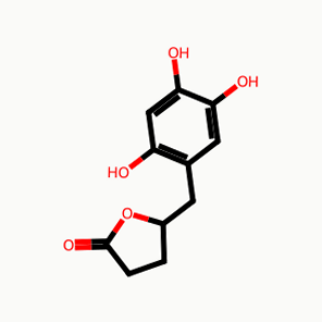 O=C1CCC(Cc2cc(O)c(O)cc2O)O1